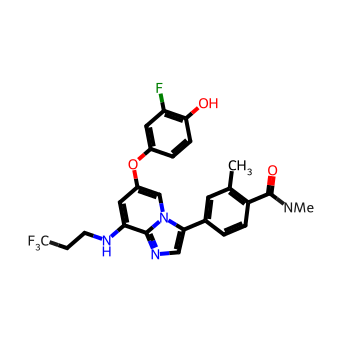 CNC(=O)c1ccc(-c2cnc3c(NCCC(F)(F)F)cc(Oc4ccc(O)c(F)c4)cn23)cc1C